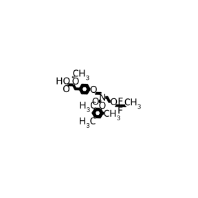 CCOC(Cc1ccc(OCCN(CCOCC(F)(F)CC)C(=O)Oc2c(C)cc(C)cc2C)cc1)C(=O)O